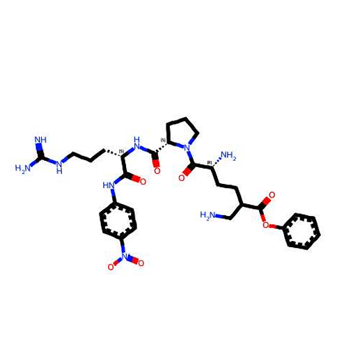 N=C(N)NCCC[C@H](NC(=O)[C@@H]1CCCN1C(=O)[C@H](N)CCC(CN)C(=O)Oc1ccccc1)C(=O)Nc1ccc([N+](=O)[O-])cc1